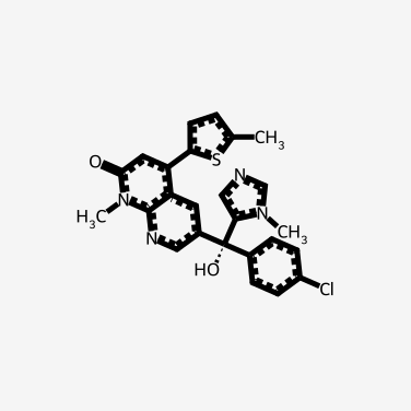 Cc1ccc(-c2cc(=O)n(C)c3ncc([C@](O)(c4ccc(Cl)cc4)c4cncn4C)cc23)s1